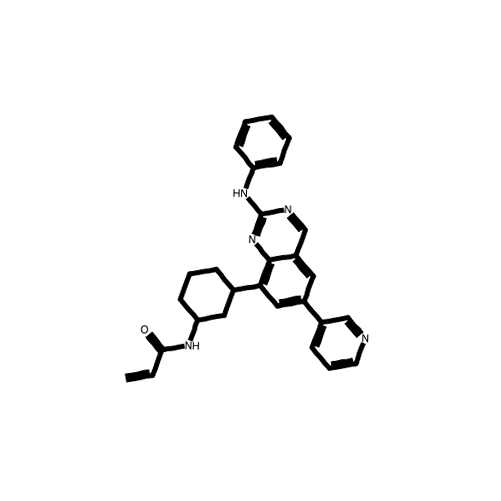 C=CC(=O)NC1CCCC(c2cc(-c3cccnc3)cc3cnc(Nc4ccccc4)nc23)C1